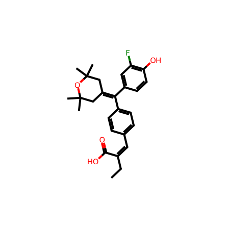 CCC(=Cc1ccc(C(=C2CC(C)(C)OC(C)(C)C2)c2ccc(O)c(F)c2)cc1)C(=O)O